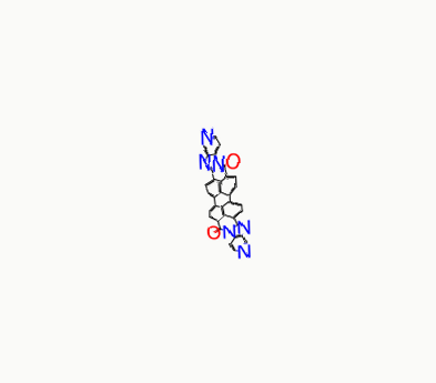 O=c1c2ccc3c4ccc5c6c(ccc(c7ccc(c2c37)c2nc3cnccc3n12)c46)c(=O)n1c2ccncc2nc51